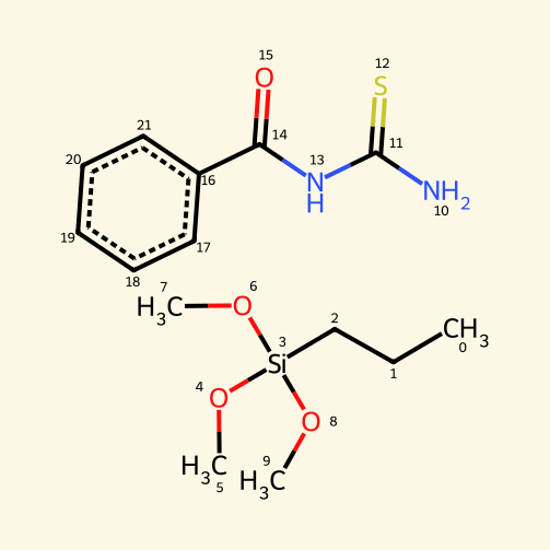 CCC[Si](OC)(OC)OC.NC(=S)NC(=O)c1ccccc1